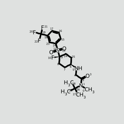 CN(C(=O)CN[C@H]1CC[C@](F)(S(=O)(=O)c2cccc(C(F)(F)F)c2)CC1)C(C)(C)C